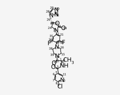 C[C@H](NC(=O)c1ccc(Cl)nc1)C(=O)N1CCN(c2c(F)cc(N3C[C@H](Cn4ccnn4)OC3=O)cc2F)CC1